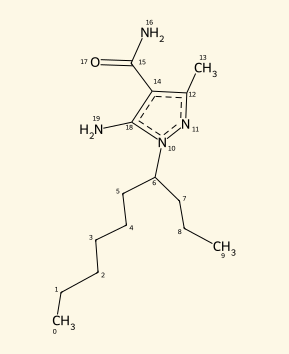 CCCCCCC(CCC)n1nc(C)c(C(N)=O)c1N